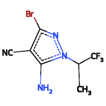 CC(n1nc(Br)c(C#N)c1N)C(F)(F)F